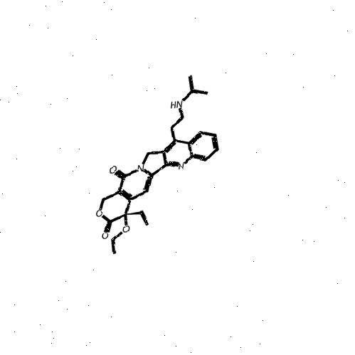 CCO[C@]1(CC)C(=O)OCc2c1cc1n(c2=O)Cc2c-1nc1ccccc1c2CCNC(C)C